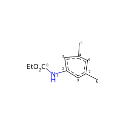 CCOC(=O)Nc1cc(C)cc(C)c1